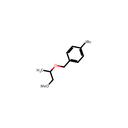 COCC(C)OCc1ccc(C(C)(C)C)cc1